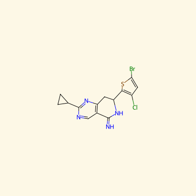 N=C1NC(c2sc(Br)cc2Cl)Cc2nc(C3CC3)ncc21